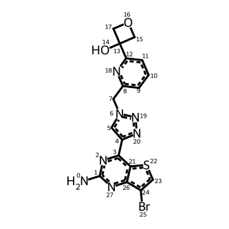 Nc1nc(-c2cn(Cc3cccc(C4(O)COC4)n3)nn2)c2scc(Br)c2n1